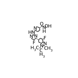 Cc1nc2c(F)cc(-c3nc(Nc4ccc(C(=O)NO)cn4)ncc3F)cc2n1C(C)C